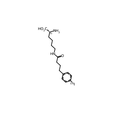 N[C@@H](CCCCNC(=O)CCCc1ccc([131I])cc1)C(=O)O